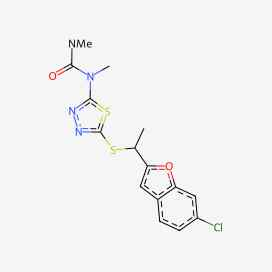 CNC(=O)N(C)c1nnc(SC(C)c2cc3ccc(Cl)cc3o2)s1